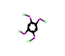 Cl[I]c1cc([I]Cl)c([I]Cl)cc1[I]Cl